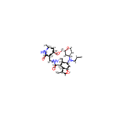 CCCN(c1cc2occ(C)c2c(C(=O)NCc2c(OC)cc(C)[nH]c2=O)c1C)C1CCOCC1